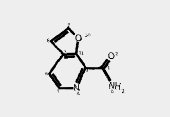 NC(=O)c1nccc2ccoc12